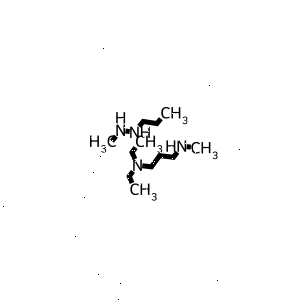 CCCNNC.CCN(CC)CCCNC